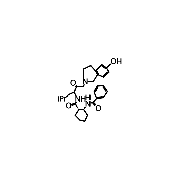 CC(C)CC(NC(=O)[C@@H]1CCCC[C@@H]1NC(=O)c1ccccc1)C(=O)CN1CCCc2cc(O)ccc2C1